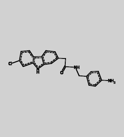 Nc1ccc(CNC(=O)Cc2ccc3c(c2)[nH]c2cc(Cl)ccc23)cc1